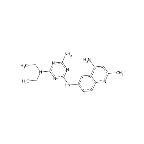 CCN(CC)c1nc(N)nc(Nc2ccc3nc(C)cc(N)c3c2)n1